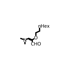 CCCCCCCCOC(C=O)=CN(C)C